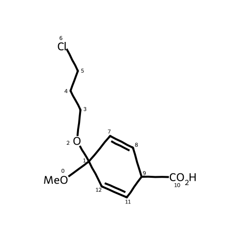 COC1(OCCCCl)C=CC(C(=O)O)C=C1